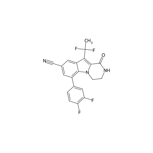 CC(F)(F)c1c2n(c3c(-c4ccc(F)c(F)c4)cc(C#N)cc13)CCNC2=O